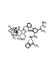 COc1c(CN2O[C@@H](CO)[C@@H]([C@H](C)O)[C@H]2C(=O)N[C@H]2C[C@H]3C[C@@H]([C@@H]2C)C3(C)C)cccc1-c1cc(C(=O)N[C@@H](Cc2ccccc2)CN(C)C)cc(N(C)CC(N)=O)c1